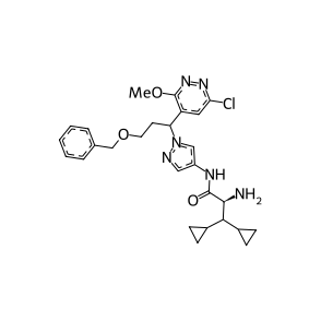 COc1nnc(Cl)cc1C(CCOCc1ccccc1)n1cc(NC(=O)[C@@H](N)C(C2CC2)C2CC2)cn1